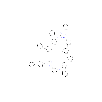 c1ccc(-c2ccc(-c3ccnc(-c4cccc(-n5c6ccccc6c6cc(-c7cccc8c7sc7ccc(-c9cccc(-c%10nc(-c%11ccccc%11)nc(-n%11c%12ccccc%12c%12cc(-c%13cccc%14c%13oc%13ccccc%13%14)ccc%12%11)n%10)c9)cc78)ccc65)c4)n3)cc2)cc1